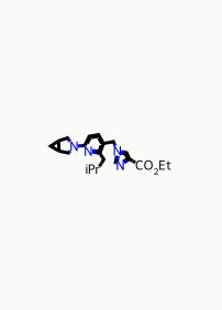 CCOC(=O)c1cn(Cc2ccc(N3CC4CC4C3)nc2CC(C)C)cn1